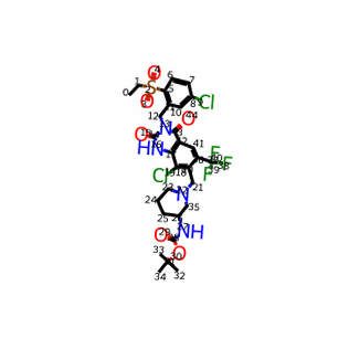 CCS(=O)(=O)c1ccc(Cl)cc1Cn1c(=O)[nH]c2c(Cl)c(CN3CCC[C@H](NC(=O)OC(C)(C)C)C3)c(C(F)(F)F)cc2c1=O